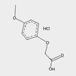 COc1ccc(OCC(=O)O)cc1.Cl